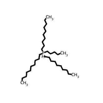 CCCCCCCCCC[PH](CCCCC)(CCCCCCCCCC)CCCCCCCCCC